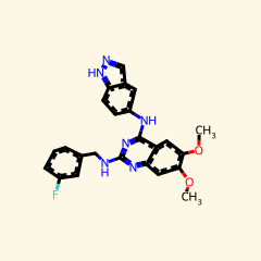 COc1cc2nc(NCc3cccc(F)c3)nc(Nc3ccc4[nH]ncc4c3)c2cc1OC